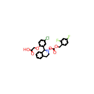 O=C(O)COc1ccc(Cl)cc1C1c2ccccc2CCN1OC(=O)OCc1ccc(F)cc1F